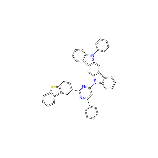 c1ccc(-c2cc(-n3c4ccccc4c4cc5c(cc43)c3ccccc3n5-c3ccccc3)nc(-c3ccc4sc5ccccc5c4c3)n2)cc1